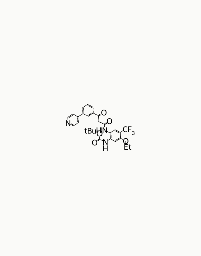 CCOc1cc(NC(=O)OC(C)(C)C)c(NC(=O)CC(=O)c2cccc(-c3ccncc3)c2)cc1C(F)(F)F